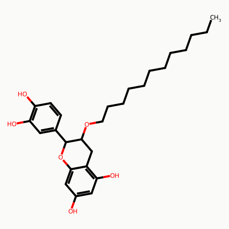 CCCCCCCCCCCCOC1Cc2c(O)cc(O)cc2OC1c1ccc(O)c(O)c1